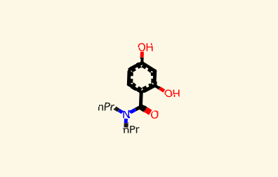 CCCN(CCC)C(=O)c1ccc(O)cc1O